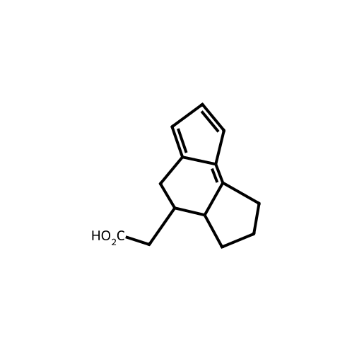 O=C(O)CC1CC2=CC=CC2=C2CCCC21